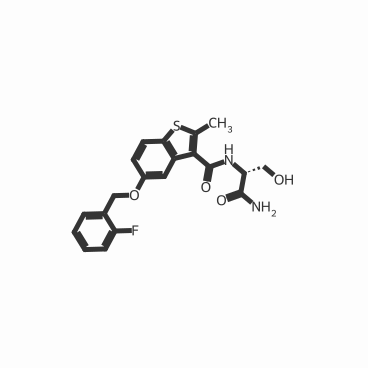 Cc1sc2ccc(OCc3ccccc3F)cc2c1C(=O)N[C@H](CO)C(N)=O